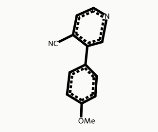 COc1ccc(-c2cnccc2C#N)cc1